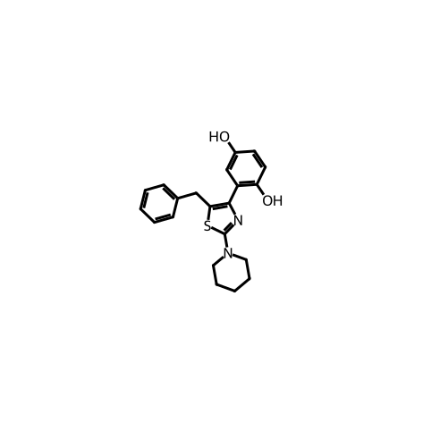 Oc1ccc(O)c(-c2nc(N3CCCCC3)sc2Cc2ccccc2)c1